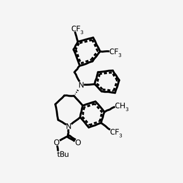 Cc1cc2c(cc1C(F)(F)F)N(C(=O)OC(C)(C)C)CCC[C@@H]2N(Cc1cc(C(F)(F)F)cc(C(F)(F)F)c1)c1ccccc1